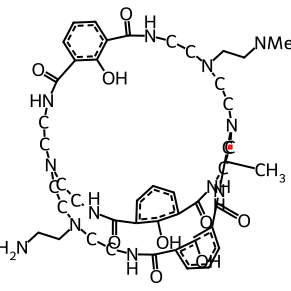 CNCCN1CCNC(=O)c2cccc(c2O)C(=O)NCCN2CCNC(=O)c3cccc(c3O)C(=O)NCCN(CC1)CC(C)NC(=O)c1cccc(c1O)C(=O)NCCN(CCN)CC2